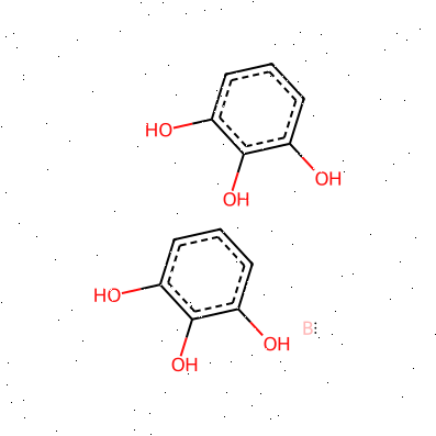 Oc1cccc(O)c1O.Oc1cccc(O)c1O.[B]